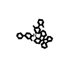 Cc1ccccc1-c1ccc(N(c2ccc(-c3ccccc3)cc2C)c2cccc3c2-c2ccccc2C32c3ccccc3-c3ccccc32)cc1C